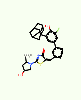 O=C1N=C(N2CC(O)CC2C(=O)O)SC1=Cc1cccc(-c2cc(F)c(O)c(C34CC5CC(CC(C5)C3)C4)c2)c1